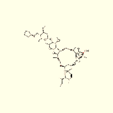 CCC(C)[C@H]1O[C@]2(C=C[C@@H]1C)C[C@@H]1C[C@@H](C/C=C(\C)[C@@H](O[C@H]3C[C@H](OC)[C@@H](O[C@H]4C[C@H](OC)[C@@H](ON=C5CCCC5)[C@H](C)O4)[C@H](C)O3)[C@@H](C)/C=C/C=C3\CO[C@@H]4[C@H](O)C(C)=C[C@@H](C(=O)O1)[C@]34O)O2